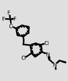 CCN(C)C=Nc1cc(Cl)c(Cc2cccc(OC(F)(F)F)c2)cc1Cl